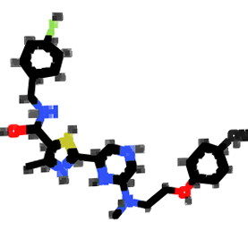 COc1ccc(OCCN(C)c2cncc(-c3nc(C)c(C(=O)NCc4ccc(F)cc4)s3)n2)cc1